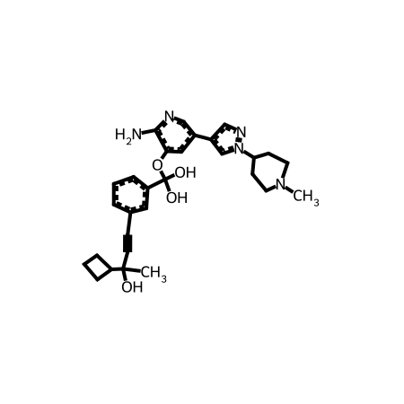 CN1CCC(n2cc(-c3cnc(N)c(OC(O)(O)c4cccc(C#CC(C)(O)C5CCC5)c4)c3)cn2)CC1